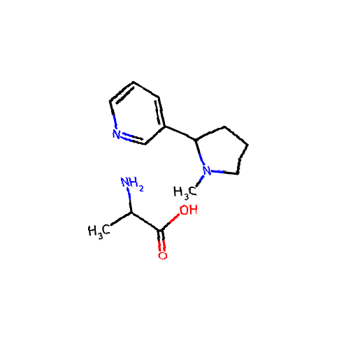 CC(N)C(=O)O.CN1CCCC1c1cccnc1